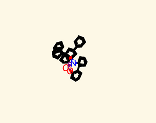 O=P1(c2ccc(-c3ccccc3)cc2)Oc2ccccc2-c2ccccc2N1c1cc(-c2ccccc2)cc(-c2ccccc2)c1